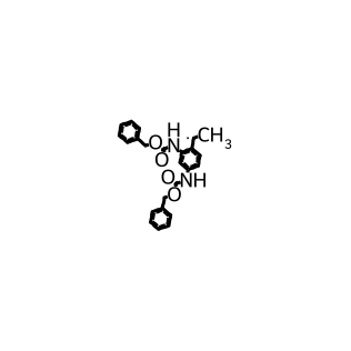 C[CH]c1ccc(NC(=O)OCc2ccccc2)cc1NC(=O)OCc1ccccc1